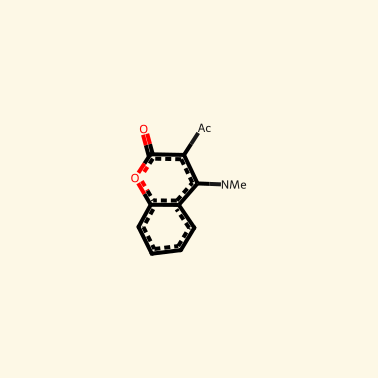 CNc1c(C(C)=O)c(=O)oc2ccccc12